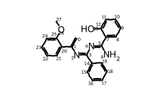 C=C(/N=C(\N=C(/N)c1ccccc1O)c1ccccc1)c1ccccc1OC